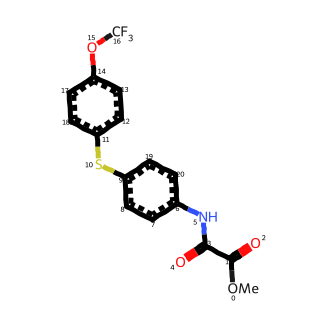 COC(=O)C(=O)Nc1ccc(Sc2ccc(OC(F)(F)F)cc2)cc1